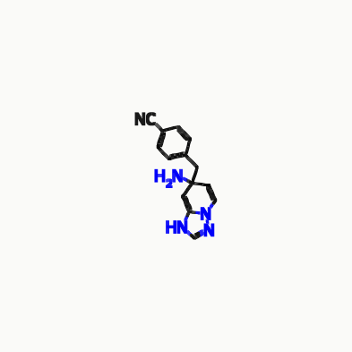 N#Cc1ccc(CC2(N)C=CN3N=CNC3=C2)cc1